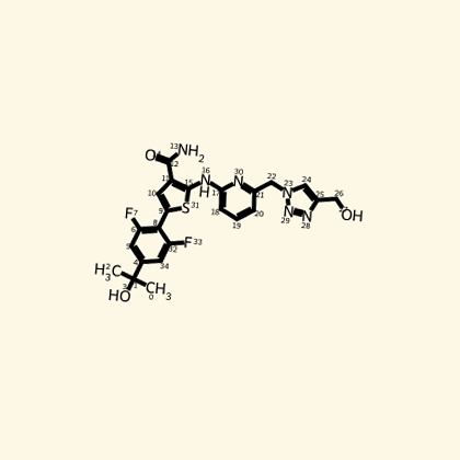 CC(C)(O)c1cc(F)c(-c2cc(C(N)=O)c(Nc3cccc(Cn4cc(CO)nn4)n3)s2)c(F)c1